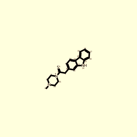 CN1CCN(C(=S)Cc2ccc3c(c2)[nH]c2ccccc23)CC1